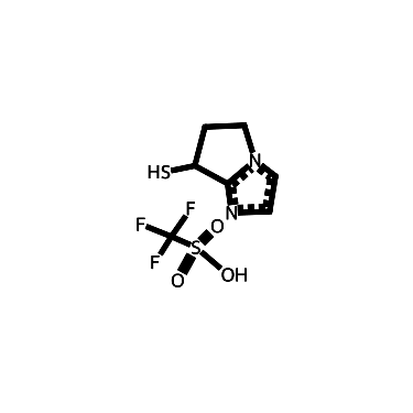 O=S(=O)(O)C(F)(F)F.SC1CCn2ccnc21